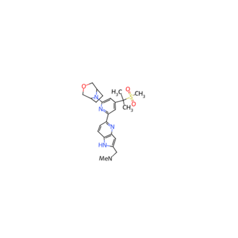 CNCc1cc2nc(-c3cc(C(C)(C)S(C)(=O)=O)cc(N4C5CCC4COC5)n3)ccc2[nH]1